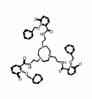 O=C(NCCN1CCN(CCNC(=O)c2cccc(=O)n2OCc2ccccc2)CCN(CCNC(=O)c2cccc(=O)n2OCc2ccccc2)CC1)c1cccc(=O)n1OCc1ccccc1